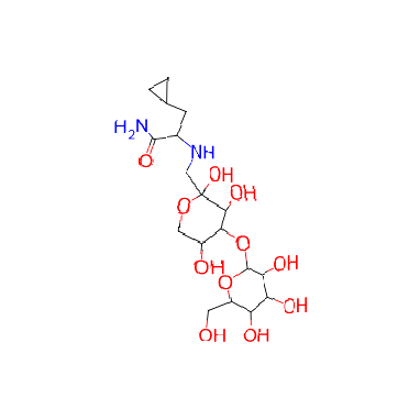 NC(=O)C(CC1CC1)NCC1(O)OCC(O)C(OC2OC(CO)C(O)C(O)C2O)C1O